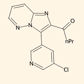 CCCC(=O)c1nc2cccnn2c1-c1cncc(Cl)c1